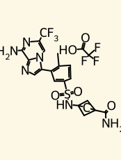 Cc1ccc(S(=O)(=O)NC23CC(C(N)=O)(C2)C3)cc1-c1cnc2c(N)nc(C(F)(F)F)cn12.O=C(O)C(F)(F)F